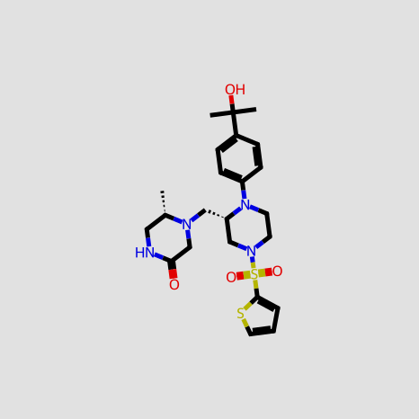 C[C@H]1CNC(=O)CN1C[C@H]1CN(S(=O)(=O)c2cccs2)CCN1c1ccc(C(C)(C)O)cc1